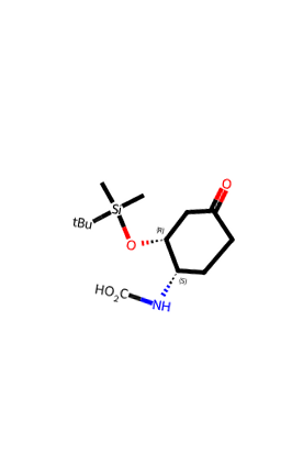 CC(C)(C)[Si](C)(C)O[C@@H]1CC(=O)CC[C@@H]1NC(=O)O